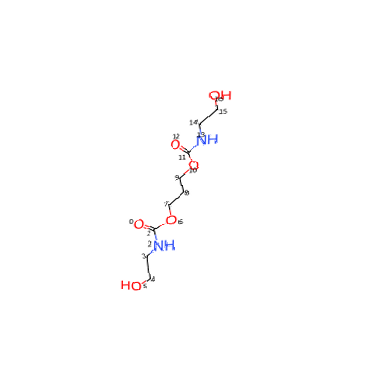 O=C(NCCO)OCCCOC(=O)NCCO